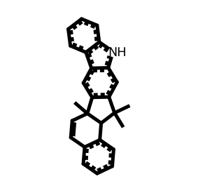 CC1(C)c2cc3[nH]c4ccccc4c3cc2C2(C)C=Cc3ccccc3C12